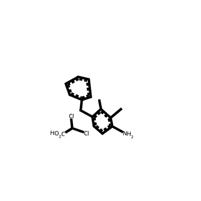 Cc1c(N)ccc(Cc2ccccc2)c1C.O=C(O)C(Cl)Cl